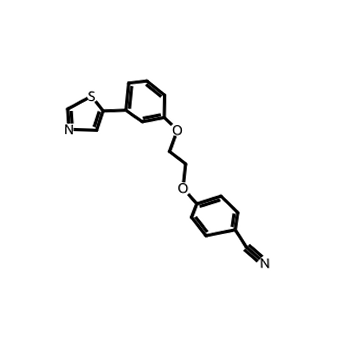 N#Cc1ccc(OCCOc2cccc(-c3cncs3)c2)cc1